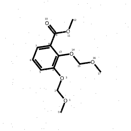 COCOc1cccc(C(=O)OC)c1OCOC